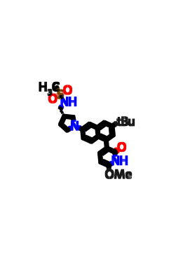 COc1ccc(-c2cc(C(C)(C)C)cc3cc(N4CC[C@H](CNS(C)(=O)=O)C4)ccc23)c(=O)[nH]1